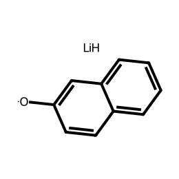 [LiH].[O]c1ccc2ccccc2c1